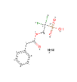 O=C(Cc1ccccc1)OCC(F)(F)S(=O)(=O)O.[NaH]